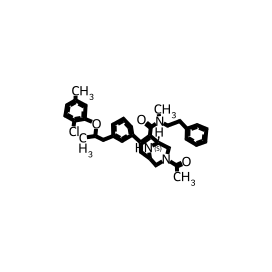 CC(=O)N1CC2CC(c3cccc(CC(C)Oc4cc(C)ccc4Cl)c3)=C(C(=O)N(C)CCc3ccccc3)[C@@H](C1)N2